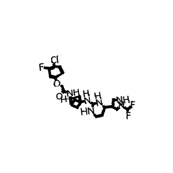 O=C(COc1ccc(Cl)c(F)c1)N[C@H]1CC2(NC3NCCC(C4CNN(C(F)F)C4)N3)CC1C2